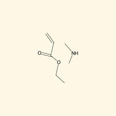 C=CC(=O)OCC.CNC